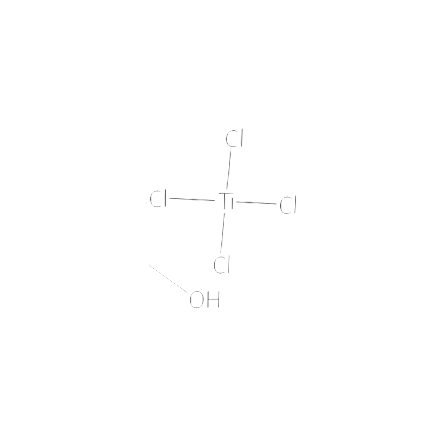 CO.[Cl][Ti]([Cl])([Cl])[Cl]